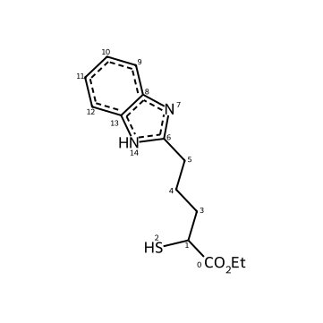 CCOC(=O)C(S)CCCc1nc2ccccc2[nH]1